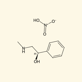 CNC[C@H](O)c1ccccc1.O=[N+]([O-])O